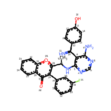 CC(Nc1ncnc(N)c1C(=N)c1ccc(O)cc1)c1oc2ccccc2c(=O)c1-c1cccc(F)c1